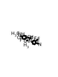 CC[N+](C)(C(=O)Nc1ccc(C#N)c(C(F)(F)F)c1)c1ccc(C(=O)NC)c(F)c1